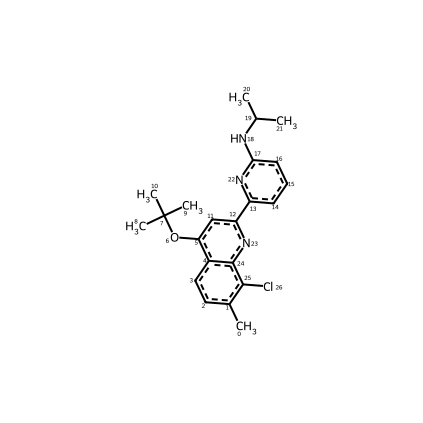 Cc1ccc2c(OC(C)(C)C)cc(-c3cccc(NC(C)C)n3)nc2c1Cl